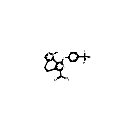 Cn1ncc2c1-c1c(Oc3ccc(C(F)(F)F)cc3)sc(C(N)=O)c1CC2